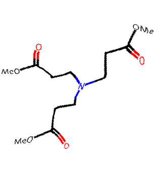 COC(=O)CCN(CCC(=O)OC)CCC(=O)OC